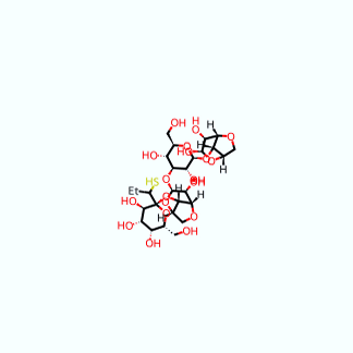 CCC(S)[C@]1(O[C@@H]2[C@H]3OC[C@@H]2O[C@@H](O[C@@H]2[C@@H](O)[C@H](O[C@@H]4[C@H]5OC[C@@H]4O[C@@H](O)[C@H]5O)O[C@H](CO)[C@H]2O)[C@H]3O)O[C@H](CO)[C@H](O)[C@H](O)[C@H]1O